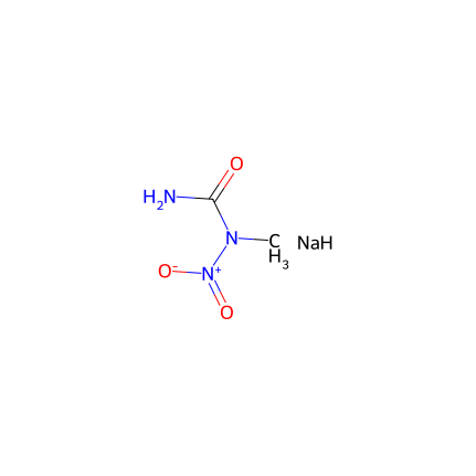 CN(C(N)=O)[N+](=O)[O-].[NaH]